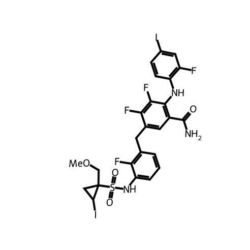 COCC1(S(=O)(=O)Nc2cccc(Cc3cc(C(N)=O)c(Nc4ccc(I)cc4F)c(F)c3F)c2F)CC1I